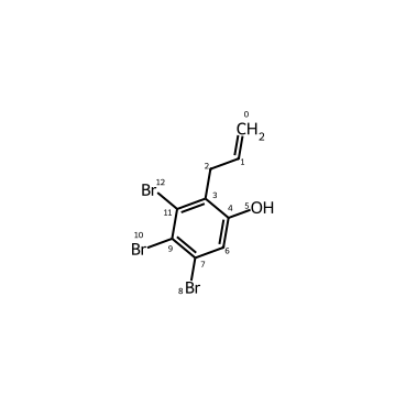 C=CCc1c(O)cc(Br)c(Br)c1Br